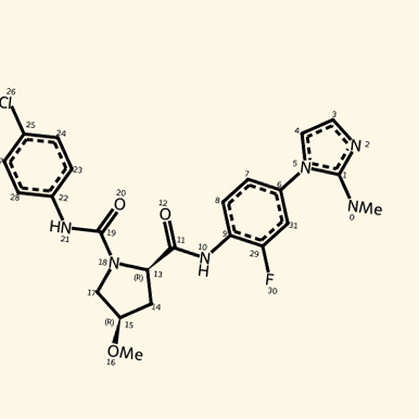 CNc1nccn1-c1ccc(NC(=O)[C@H]2C[C@@H](OC)CN2C(=O)Nc2ccc(Cl)cc2)c(F)c1